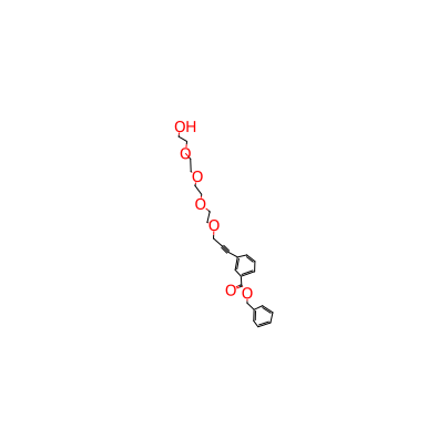 O=C(OCc1ccccc1)c1cccc(C#CCOCCOCCOCCOCCO)c1